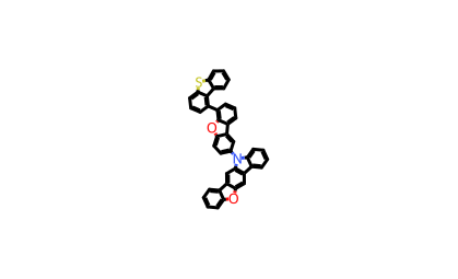 c1ccc2c(c1)oc1cc3c4ccccc4n(-c4ccc5oc6c(-c7cccc8sc9ccccc9c78)cccc6c5c4)c3cc12